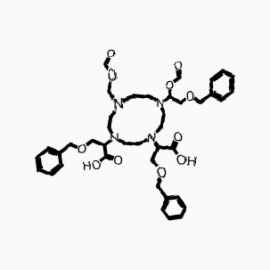 O=COCN1CCN(C(COCc2ccccc2)OC=O)CCN(C(COCc2ccccc2)C(=O)O)CCN(C(COCc2ccccc2)C(=O)O)CC1